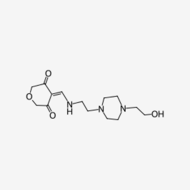 O=C1COCC(=O)C1=CNCCN1CCN(CCO)CC1